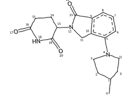 CC1CCN(c2cccc3c2CN(C2CCC(=O)NC2=O)C3=O)CC1